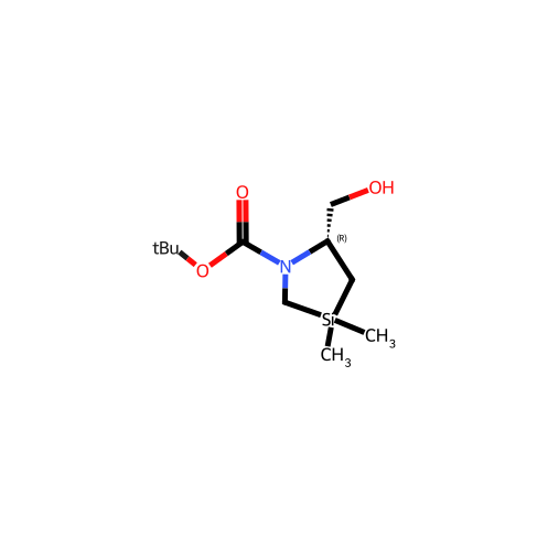 CC(C)(C)OC(=O)N1C[Si](C)(C)C[C@H]1CO